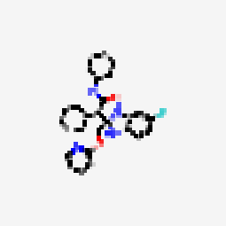 O=C(NC1CCCCC1)C(C1CCCCC1)C1(COc2ccccn2)Nc2ccc(F)cc2N1